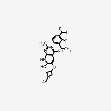 CC(=O)N1CC(OC2=Cc3c(nc(C)nc3N[C@H](C)c3cccc(C(F)F)c3F)NC2O)C1